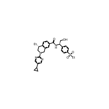 CC[C@H]1CN(c2ncc(C3CC3)cn2)Cc2cc(C(=O)N[C@@H](CO)c3ccc(S(=O)(=O)CC)cc3)ccc21